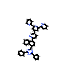 c1ccc(-c2nc(-c3ccccc3)nc(-c3ccc(-c4ccc(-c5cc(-c6ccccn6)nc(-c6ccccn6)c5)cn4)c4ccccc34)n2)cc1